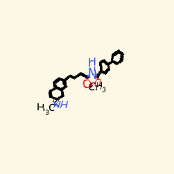 CN[C@H]1CCc2ccc(CCCC(NC(=O)c3ccc(-c4ccccc4)cc3)OC)cc2C1